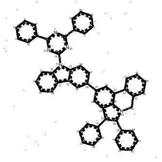 c1ccc(-c2nc(-c3ccccc3)nc(-n3c4ccccc4c4cc(-c5cc6c7c(c5)c(-c5ccccc5)c(-c5ccccc5)n7Cc5ccccc5-6)ccc43)n2)cc1